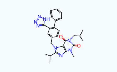 CC(C)Cn1c(=O)c2c(nc(C(C)C)n2Cc2ccc(-c3ccccc3)c(-c3nnn[nH]3)c2)n(C)c1=O